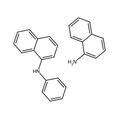 Nc1cccc2ccccc12.c1ccc(Nc2cccc3ccccc23)cc1